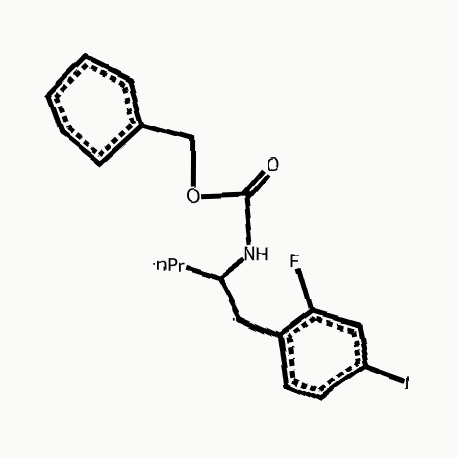 CC[CH]C([CH]c1ccc(I)cc1F)NC(=O)OCc1ccccc1